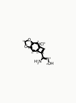 Cl.NC(=NO)C1=Cc2cc3c(cc21)OCO3